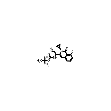 CCC(NC(=O)OC(C)(C)C)c1cc2cccc(Cl)c2c(=O)n1C1CC1